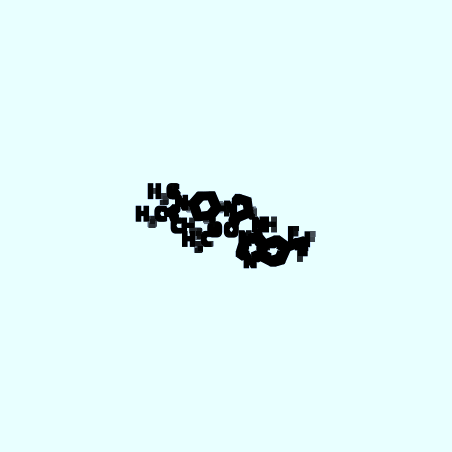 CO[C@@H]1C[C@H](N(C)C(C)C)CC[C@@H]1N1CC[C@H](Nc2ncnc3ccc(C(F)(F)F)cc23)C1=O